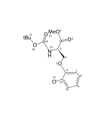 COC(=O)[C@@H](COc1ccccc1Cl)NC(=O)OC(C)(C)C